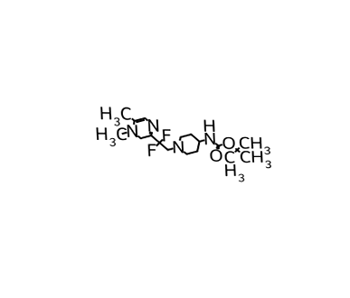 CC1=CN=C(C(F)(F)CN2CCC(NC(=O)OC(C)(C)C)CC2)CN1C